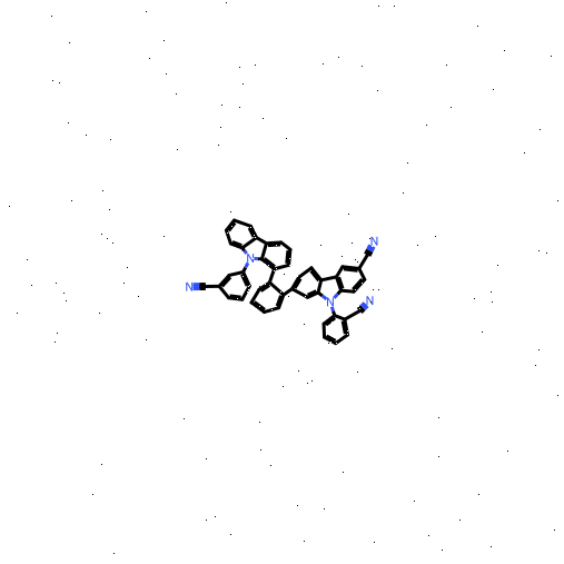 N#Cc1cccc(-n2c3ccccc3c3cccc(-c4ccccc4-c4ccc5c6cc(C#N)ccc6n(-c6ccccc6C#N)c5c4)c32)c1